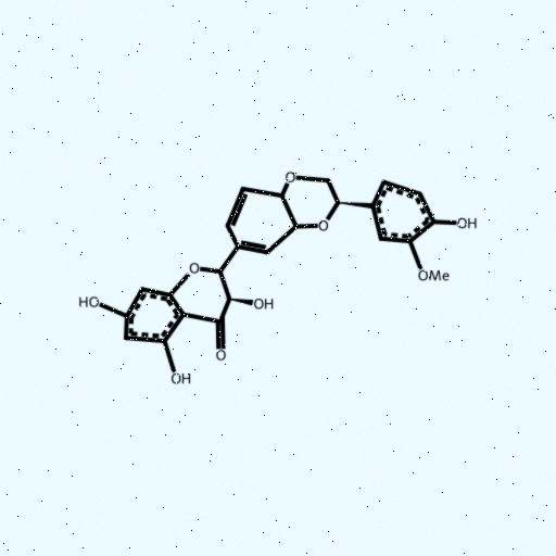 COc1cc([C@@H]2COC3C=CC(C4Oc5cc(O)cc(O)c5C(=O)[C@@H]4O)=CC3O2)ccc1O